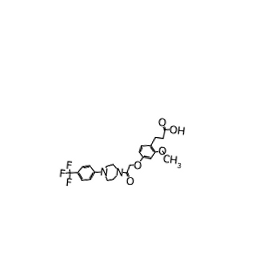 COc1cc(OCC(=O)N2CCN(c3ccc(C(F)(F)F)cc3)CC2)ccc1CCC(=O)O